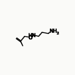 C=C(C)CONCCCN